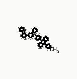 Cc1ccc(-c2c3ccccc3c(-c3ccc(-n4c5ccccc5c5cc(-c6cccc7c6oc6ccccc67)ccc54)cc3)c3ccccc23)cc1